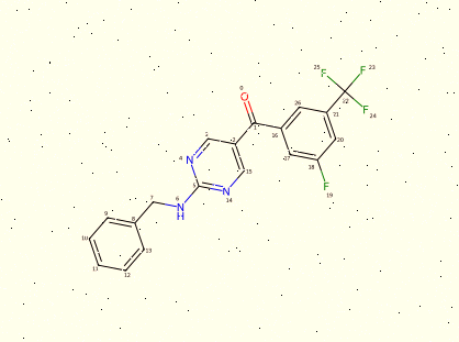 O=C(c1cnc(NCc2ccccc2)nc1)c1cc(F)cc(C(F)(F)F)c1